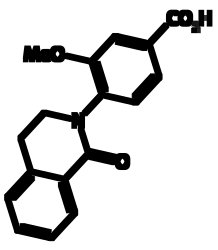 COc1cc(C(=O)O)ccc1N1CCc2ccccc2C1=O